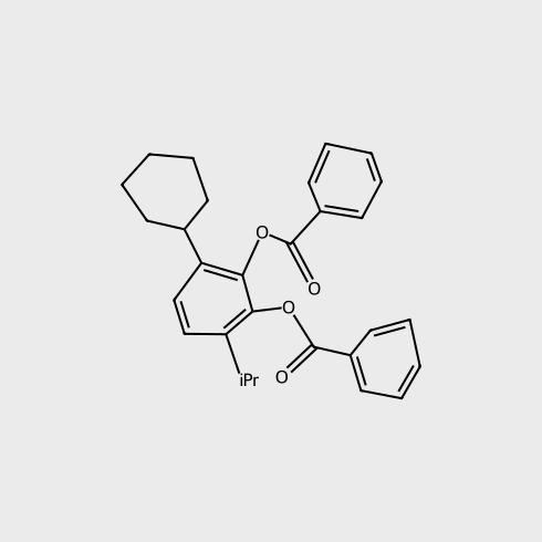 CC(C)c1ccc(C2CCCCC2)c(OC(=O)c2ccccc2)c1OC(=O)c1ccccc1